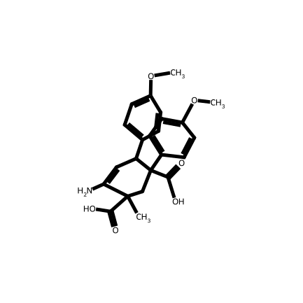 COc1ccc(C2C=C(N)C(C)(C(=O)O)CC2(C(=O)O)c2ccc(OC)cc2)cc1